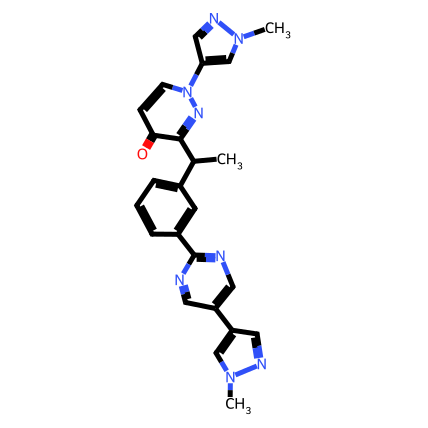 CC(c1cccc(-c2ncc(-c3cnn(C)c3)cn2)c1)c1nn(-c2cnn(C)c2)ccc1=O